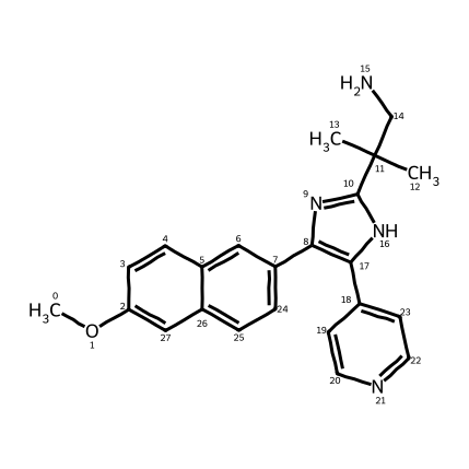 COc1ccc2cc(-c3nc(C(C)(C)CN)[nH]c3-c3ccncc3)ccc2c1